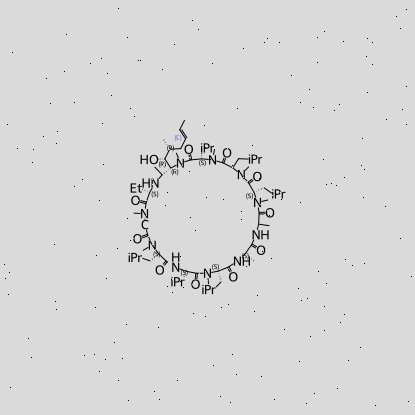 C/C=C/C[C@@H](C)[C@@H](O)[C@H]1C(C)N[C@@H](CC)C(=O)N(C)CC(=O)N(C)[C@@H](CC(C)C)C(=O)N[C@@H](C(C)C)C(=O)N(C)[C@@H](CC(C)C)C(=O)N[C@@H](C)C(=O)NC(C)C(=O)N(C)[C@@H](CC(C)C)C(=O)N(C)C(CC(C)C)C(=O)N(C)[C@@H](C(C)C)C(=O)N1C